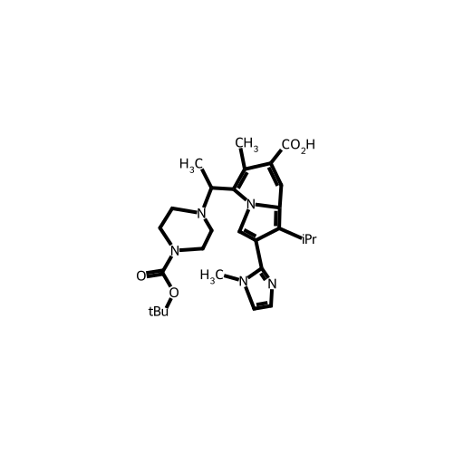 Cc1c(C(=O)O)cc2c(C(C)C)c(-c3nccn3C)cn2c1C(C)N1CCN(C(=O)OC(C)(C)C)CC1